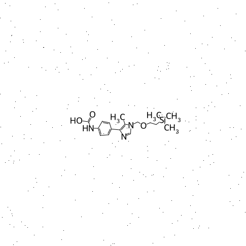 Cc1c(-c2ccc(NC(=O)O)cc2)ncn1COCC[Si](C)(C)C